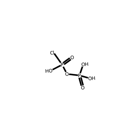 O=P(O)(O)OP(=O)(O)Cl